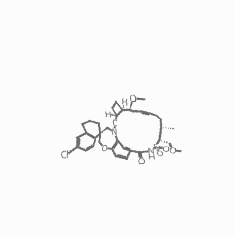 COC[C@H]1[C@@H](C)C/C=C/[C@H](OC)[C@@H]2CC[C@H]2CN2C[C@@]3(CCCc4cc(Cl)ccc43)COc3ccc(cc32)C(=O)NS1(=O)=O